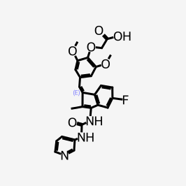 COc1cc(/C=C2/C(C)=C(NC(=O)Nc3cccnc3)c3cc(F)ccc32)cc(OC)c1OCC(=O)O